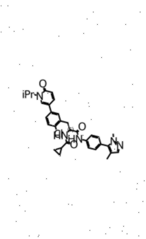 Cc1cnn(C)c1-c1ccc(NC(=O)[C@H](Cc2cc(-c3ccc(=O)n(C(C)C)c3)ccc2Cl)NC(=O)C2CC2)cc1